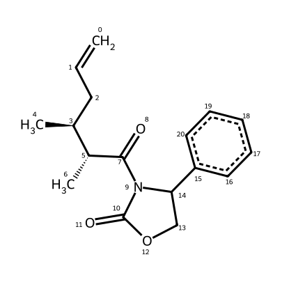 C=CC[C@H](C)[C@@H](C)C(=O)N1C(=O)OCC1c1ccccc1